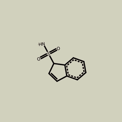 [NH]S(=O)(=O)C1C=Cc2ccccc21